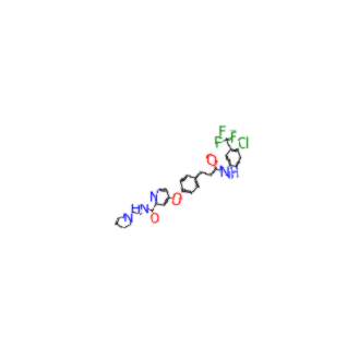 O=C(CCc1ccc(Oc2ccnc(C(=O)NCCN3CCCC3)c2)cc1)Nc1ccc(Cl)c(C(F)(F)F)c1